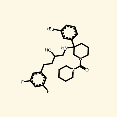 CC(C)(C)c1cccc(C2(NCC(O)CCc3cc(F)cc(F)c3)CCCN(C(=O)N3CCCCC3)C2)c1